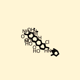 CN(C)[C@@H]1C(O)=C(C(N)=O)C(=O)[C@@]2(O)C(O)=C3C(=O)c4c(O)cc(CN[C@@H]5CC6CCC5(C)C6(C)C)c(Cl)c4C[C@H]3C[C@@H]12